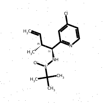 C=C[C@@H](C)[C@H](N[S+]([O-])C(C)(C)C)c1cc(Cl)ccn1